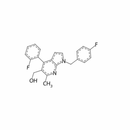 Cc1nc2c(ccn2Cc2ccc(F)cc2)c(-c2ccccc2F)c1CO